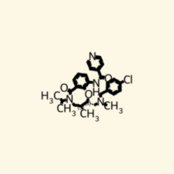 CC(C)N1C[C@H](C)[C@@H](CN(C)Cc2ccc(Cl)cc2)Oc2c(NC(=O)c3ccncc3)cccc2C1=O